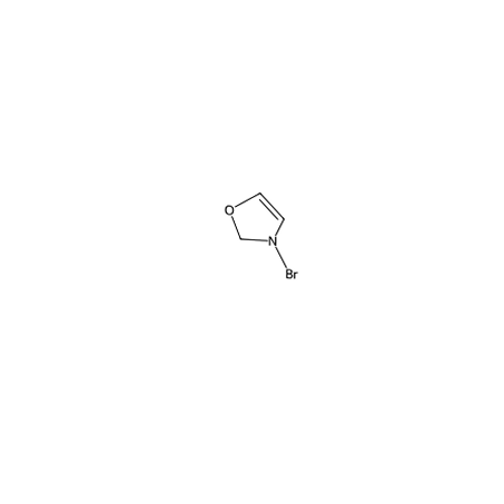 BrN1C=COC1